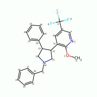 COc1ncc(C(F)(F)F)cc1C1CN(Cc2ccccc2)CC1c1ccccc1